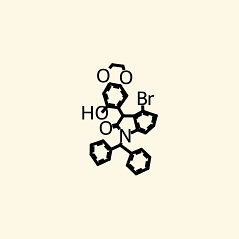 O=C1C(c2cc3c(cc2O)OCCO3)c2c(Br)cccc2N1C(c1ccccc1)c1ccccc1